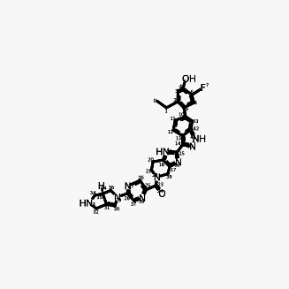 CCc1cc(O)c(F)cc1-c1ccc2c(-c3nc4c([nH]3)CCN(C(=O)c3cnc(N5C=C6CNC[C@@H]6C5)cn3)C4)n[nH]c2c1